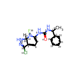 CC(NC(=O)NC1=CC=C2C(Cl)=NN[C@@H]2N1F)c1ccccc1